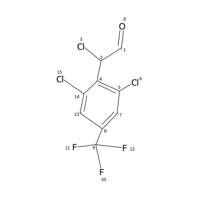 O=[C]C(Cl)c1c(Cl)cc(C(F)(F)F)cc1Cl